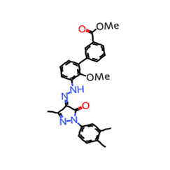 COC(=O)c1cccc(-c2cccc(N/N=C3\C(=O)N(c4ccc(C)c(C)c4)N=C3C)c2OC)c1